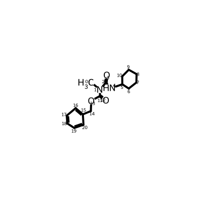 CN(C(=O)NC1CCCCC1)C(=O)OCc1ccccc1